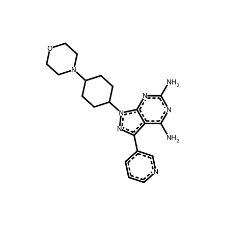 Nc1nc(N)c2c(-c3cccnc3)nn(C3CCC(N4CCOCC4)CC3)c2n1